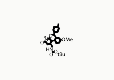 COc1ccc(-c2cn(C)c(=O)cc2CNC(=O)OC(C)(C)C)c(C(=O)c2ccc(C)cc2)c1